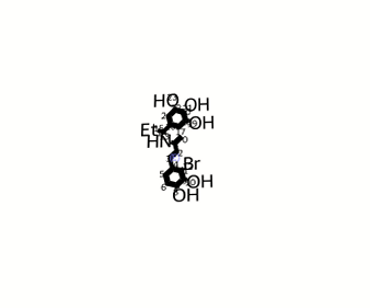 C=C(/C=C/c1ccc(O)c(O)c1Br)NC(CC)c1cc(O)c(O)c(O)c1